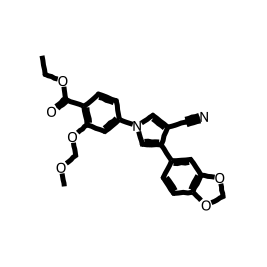 CCOC(=O)c1ccc(-n2cc(C#N)c(-c3ccc4c(c3)OCO4)c2)cc1OCOC